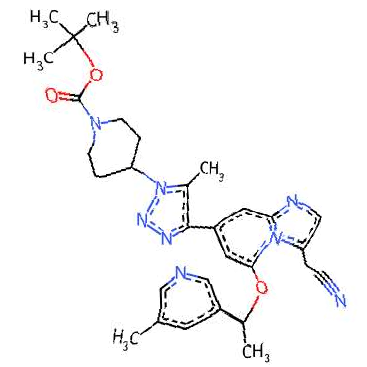 Cc1cncc(C(C)Oc2cc(-c3nnn(C4CCN(C(=O)OC(C)(C)C)CC4)c3C)cc3ncc(C#N)n23)c1